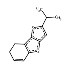 CC(C)c1cc2sc3c(c2s1)CCC=C3